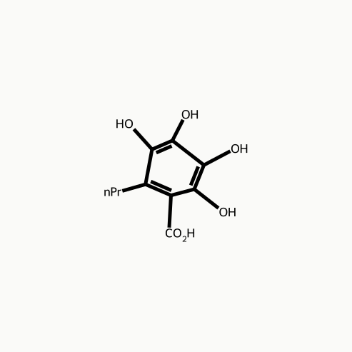 CCCc1c(O)c(O)c(O)c(O)c1C(=O)O